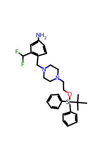 CC(C)(C)[Si](OCCN1CCN(Cc2ccc(N)cc2C(F)F)CC1)(c1ccccc1)c1ccccc1